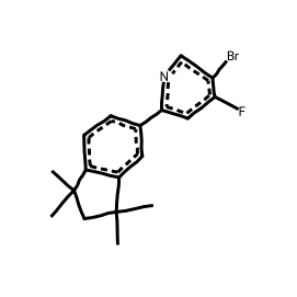 CC1(C)CC(C)(C)c2cc(-c3cc(F)c(Br)cn3)ccc21